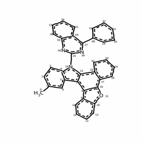 Cc1ccc2c(c1)c1c3c4ccccc4oc3c3ccccc3c1n2-c1nc(-c2ccccc2)c2ccccc2n1